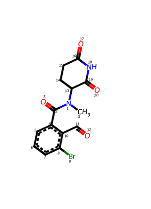 CN(C(=O)c1cccc(Br)c1C=O)C1CCC(=O)NC1=O